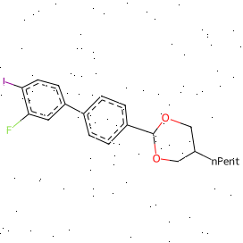 CCCCCC1COC(c2ccc(-c3ccc(I)c(F)c3)cc2)OC1